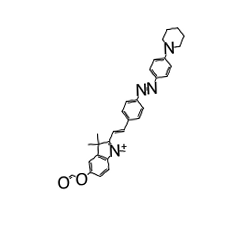 C[N+]1=C(/C=C/c2ccc(/N=N/c3ccc(N4CCCCC4)cc3)cc2)C(C)(C)c2cc(OC=O)ccc21